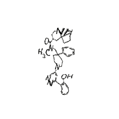 CN(CC1(c2ccccc2)CCN(c2cnnc(-c3ccccc3O)c2)CC1)C(=O)C1CCNC2(CCC2)C1